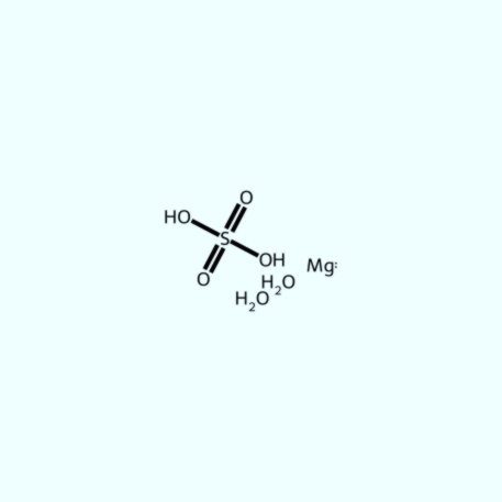 O.O.O=S(=O)(O)O.[Mg]